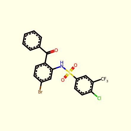 O=C(c1ccccc1)c1ccc(Br)cc1NS(=O)(=O)c1ccc(Cl)c(C(F)(F)F)c1